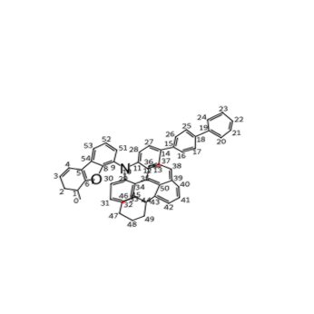 CC1CC=Cc2c1oc1c(N(c3ccc(-c4ccc(-c5ccccc5)cc4)cc3)c3ccccc3-c3cccc4cccc(C5CCCCC5)c34)cccc21